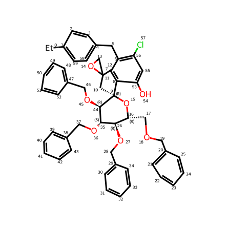 CCc1ccc(Cc2cc([C@@]3(CC4(C)CO4)O[C@H](COCc4ccccc4)[C@@H](OCc4ccccc4)[C@H](OCc4ccccc4)[C@H]3OCc3ccccc3)c(O)cc2Cl)cc1